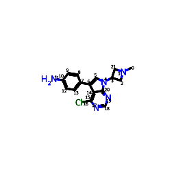 CN1CC(n2cc(-c3ccc(N)cc3)c3c(Cl)ncnc32)C1